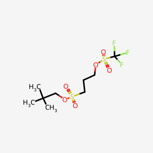 CC(C)(C)COS(=O)(=O)CCCOS(=O)(=O)C(F)(F)F